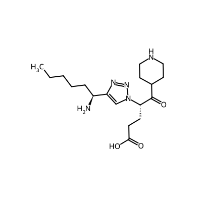 CCCCC[C@H](N)c1cn([C@@H](CCC(=O)O)C(=O)C2CCNCC2)nn1